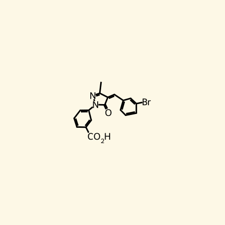 CC1=NN(c2cccc(C(=O)O)c2)C(=O)/C1=C\c1cccc(Br)c1